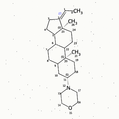 C/C=C1/CCC2C3CCC4C[C@@H](N5CCOCC5)CC[C@]4(C)C3CC[C@]12C